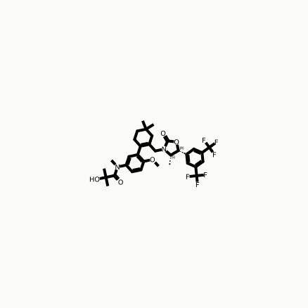 COc1ccc(N(C)C(=O)C(C)(C)O)cc1C1=C(CN2C(=O)O[C@H](c3cc(C(F)(F)F)cc(C(F)(F)F)c3)[C@@H]2C)CC(C)(C)CC1